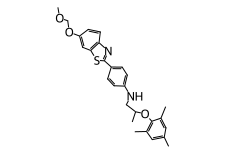 COCOc1ccc2nc(-c3ccc(NCC(C)Oc4c(C)cc(C)cc4C)cc3)sc2c1